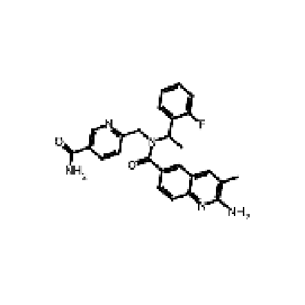 Cc1cc2cc(C(=O)N(Cc3ccc(C(N)=O)cn3)C(C)c3ccccc3F)ccc2nc1N